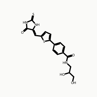 O=C1NC(=S)N/C1=C\c1ccc(-c2ccc(C(=O)NCC(O)CO)cc2)s1